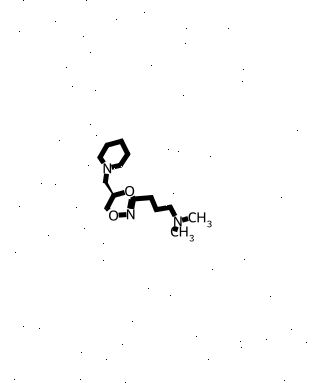 CN(C)CCCC1=NOC[C@@H](CN2CCCCC2)O1